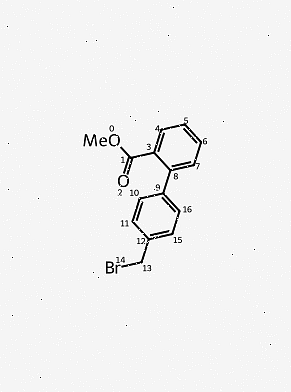 COC(=O)c1ccccc1-c1ccc(CBr)cc1